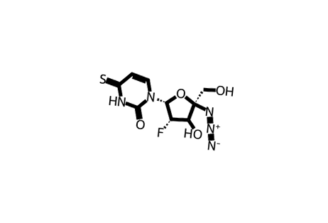 [N-]=[N+]=N[C@]1(CO)O[C@@H](n2ccc(=S)[nH]c2=O)[C@@H](F)C1O